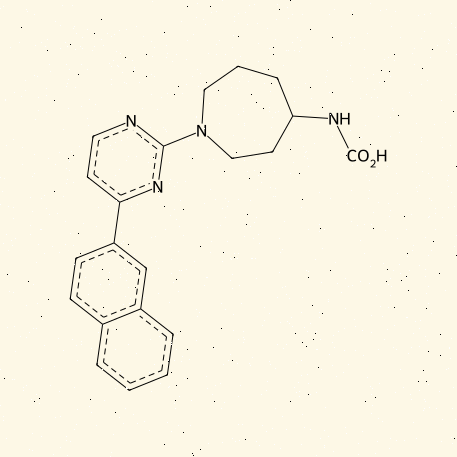 O=C(O)NC1CCCN(c2nccc(-c3ccc4ccccc4c3)n2)CC1